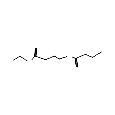 CCCC(=O)OCCCC(=O)OCC